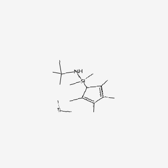 CC1=C(C)C([Si](C)(C)NC(C)(C)C)C(C)=C1C.[CH3][Ti][CH3]